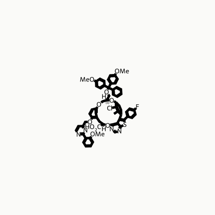 COc1ccc(C(OC[C@@H]2COc3ccc(OCc4ccnc(-c5ccccc5OC)n4)c(c3)C[C@H](C(=O)O)Oc3ncnc4sc(-c5ccc(F)cc5)c(c34)-c3ccc(c(Cl)c3C)O2)(c2ccccc2)c2ccc(OC)cc2)cc1